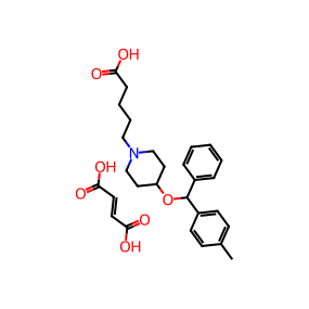 Cc1ccc(C(OC2CCN(CCCCC(=O)O)CC2)c2ccccc2)cc1.O=C(O)/C=C/C(=O)O